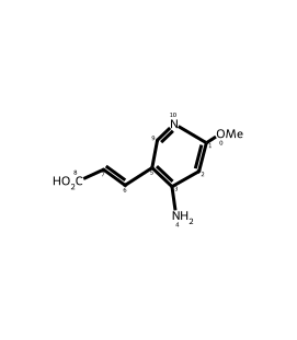 COc1cc(N)c(/C=C/C(=O)O)cn1